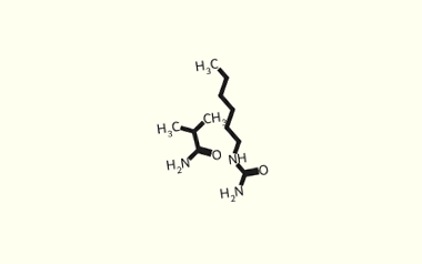 CC(C)C(N)=O.CCCCCCNC(N)=O